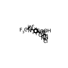 Cn1cc(C(F)(F)F)nc1-c1ccc(COc2nc(Cl)ncc2B(O)O)cc1